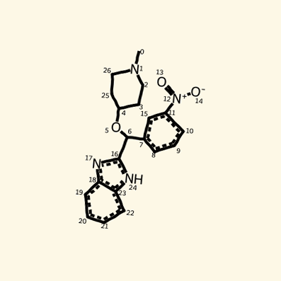 CN1CCC(OC(c2cccc([N+](=O)[O-])c2)c2nc3ccccc3[nH]2)CC1